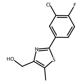 Cc1sc(-c2ccc(F)c(Cl)c2)nc1CO